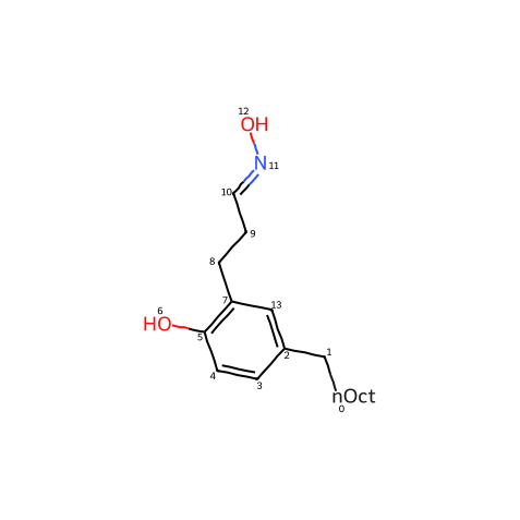 CCCCCCCCCc1ccc(O)c(CCC=NO)c1